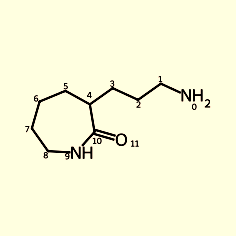 NCCCC1CCCCNC1=O